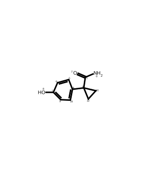 NC(=O)C1(c2ccc(O)cc2)CC1